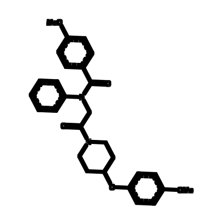 COc1ccc(OC2CCN(C(=O)CN(C(=O)c3ccc(OC)cc3)c3ccccc3)CC2)cc1